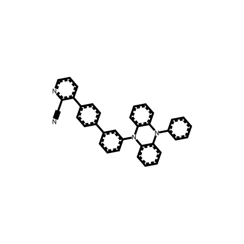 N#Cc1ncccc1-c1ccc(-c2cccc(N3c4ccccc4N(c4ccccc4)c4ccccc43)c2)cc1